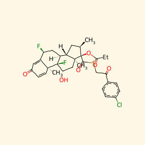 CCC(=O)O[C@]1(C(=O)SCC(=O)c2ccc(Cl)cc2)[C@H](C)C[C@H]2[C@@H]3C[C@H](F)C4=CC(=O)C=C[C@]4(C)[C@@]3(F)[C@@H](O)C[C@@]21C